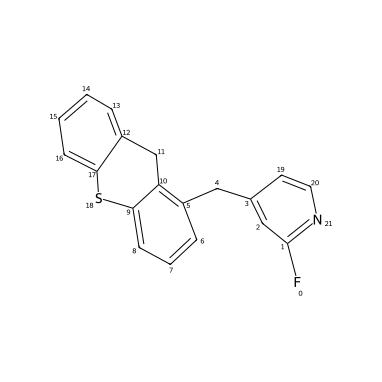 Fc1cc(Cc2cccc3c2Cc2ccccc2S3)ccn1